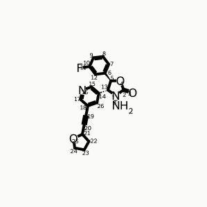 NN1C(=O)O[C@H](c2cccc(F)c2)[C@H]1c1cncc(C#CC2CCCO2)c1